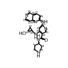 Cl.O=C(NC1CCNCC1)c1cnc(Nc2ccc3cnccc3n2)cc1NC1CC1